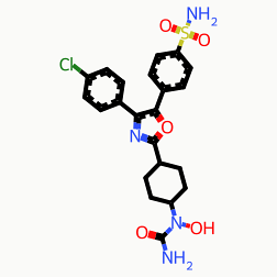 NC(=O)N(O)C1CCC(c2nc(-c3ccc(Cl)cc3)c(-c3ccc(S(N)(=O)=O)cc3)o2)CC1